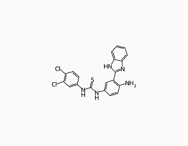 Nc1ccc(NC(=S)Nc2ccc(Cl)c(Cl)c2)cc1-c1nc2ccccc2[nH]1